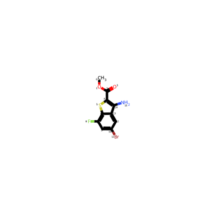 COC(=O)c1sc2c(F)cc(Br)cc2c1N